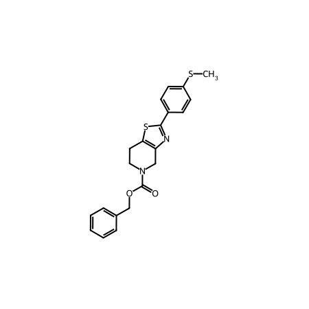 CSc1ccc(-c2nc3c(s2)CCN(C(=O)OCc2ccccc2)C3)cc1